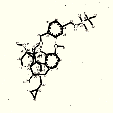 COc1ccc2c3c1O[C@H]1[C@@]4(OC)CC[C@@]5(C[C@@H]4COCc4ccc(CO[Si](C)(C)C(C)(C)C)cc4)[C@@H](C2)N(CC2CC2)CC[C@]315